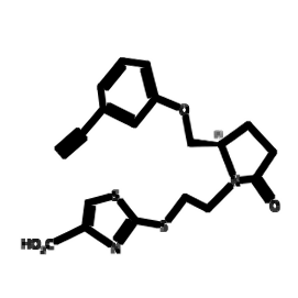 C#Cc1cccc(OC[C@H]2CCC(=O)N2CCSc2nc(C(=O)O)cs2)c1